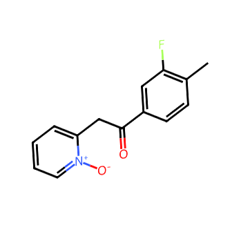 Cc1ccc(C(=O)Cc2cccc[n+]2[O-])cc1F